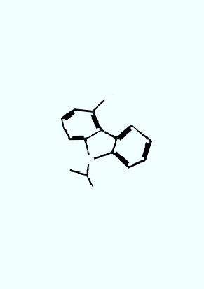 CC(C)n1c2ccccc2c2c(O)cccc21